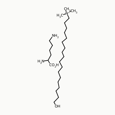 C[N+](C)(C)CCCCCCCCCCCCCCCCCCO.NCCCCC(N)C(=O)O